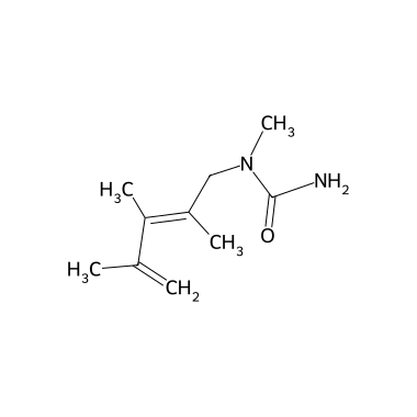 C=C(C)/C(C)=C(\C)CN(C)C(N)=O